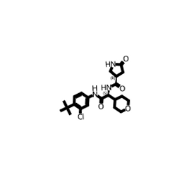 CC(C)(C)c1ccc(NC(=O)[C@@H](NC(=O)[C@H]2CNC(=O)C2)C2CCOCC2)cc1Cl